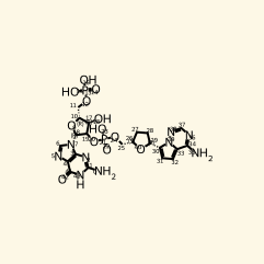 Nc1nc2c(ncn2[C@@H]2O[C@H](COP(=O)(O)O)[C@@H](O)C2OP(=O)(O)OC[C@@H]2CC[C@H](c3ccc4c(N)ncnn34)O2)c(=O)[nH]1